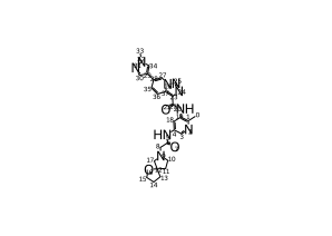 Cc1ncc(NC(=O)CN2CCC3(CCCO3)C2)cc1NC(=O)c1nnn2cc(-c3cnn(C)c3)ccc12